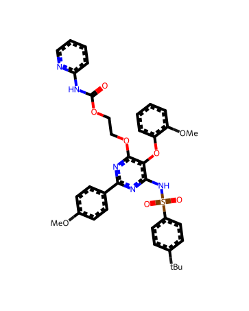 COc1ccc(-c2nc(NS(=O)(=O)c3ccc(C(C)(C)C)cc3)c(Oc3ccccc3OC)c(OCCOC(=O)Nc3ccccn3)n2)cc1